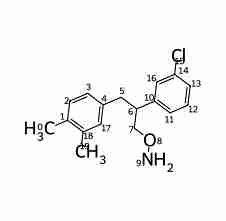 Cc1ccc(CC(CON)c2cccc(Cl)c2)cc1C